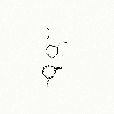 CCCCCOC[C@H]1O[C@@H](n2ccc(N)nc2=O)[C@@H](O)[C@@H]1OCCCCC